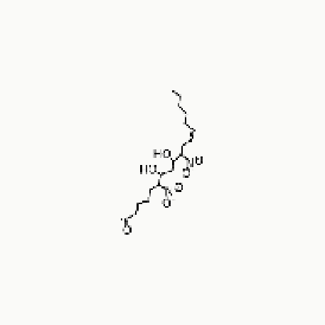 CCCCC/C=C\CC(C(O)CC(O)C(CCCC[C]=O)[N+](=O)[O-])[N+](=O)[O-]